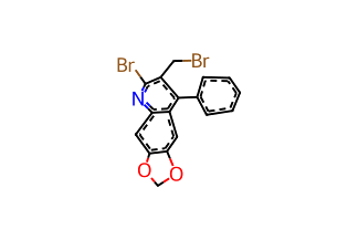 BrCc1c(Br)nc2cc3c(cc2c1-c1ccccc1)OCO3